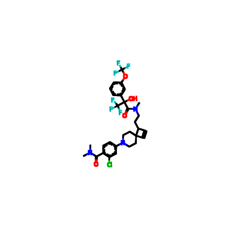 CN(C)C(=O)c1ccc(N2CCC3(C#CC3CCN(C)C(=O)C(O)(c3cccc(OC(F)(F)F)c3)C(F)(F)F)CC2)cc1Cl